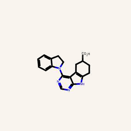 O=C(O)C1CCc2[nH]c3ncnc(N4CCc5ccccc54)c3c2C1